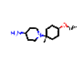 CCCO[C@H]1CC[C@](C)(N2CCC(N)CC2)CC1